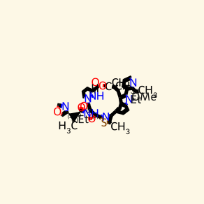 CCO[C@@H]1C2=NC(c3ccc4c(c3)c(c(-c3cccnc3[C@H](C)OC)n4CC)CC(C)(C)COC(=O)[C@@H]3CCCN(N3)C(=O)[C@H]1NC(=O)[C@H]1[C@H](C)[C@@H]1c1cocn1)C(C)S2